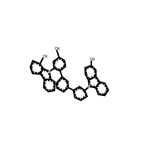 N#Cc1ccc(-c2cccc(-c3cccc(-n4c5ccccc5c5cc(C#N)ccc54)c3)c2)c(-n2c3ccccc3c3cccc(C#N)c32)c1